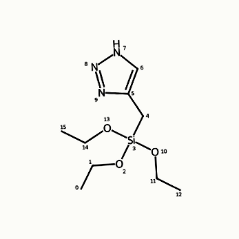 CCO[Si](Cc1c[nH]nn1)(OCC)OCC